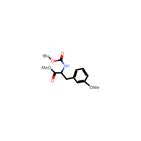 COC(=O)C(Cc1cccc(OC)c1)NC(=O)OC(C)(C)C